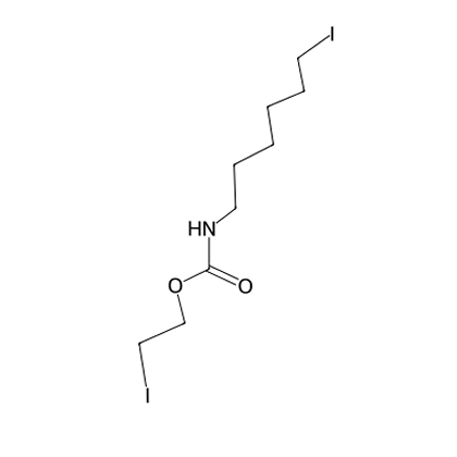 O=C(NCCCCCCI)OCCI